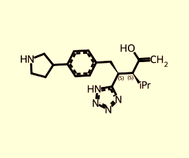 C=C(O)[C@@H](C(C)C)[C@H](Cc1ccc(C2CCNC2)cc1)c1nnn[nH]1